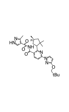 Cc1n[nH]cc1S(=O)(=O)NC(=O)c1ccc(-n2ccc(OCC(C)(C)C)n2)nc1C1C[C@@H](C)CC1(C)C